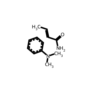 CC=CC(N)=O.CN(C)c1ccccc1